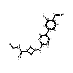 CCOC(=O)C1CC(Oc2ncc(-c3ccc(C=O)c(F)c3)cn2)C1